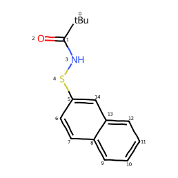 CC(C)(C)C(=O)NSc1ccc2ccccc2c1